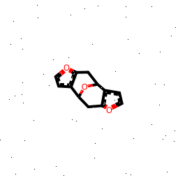 c1cc2c(o1)CC1OC2Cc2occc21